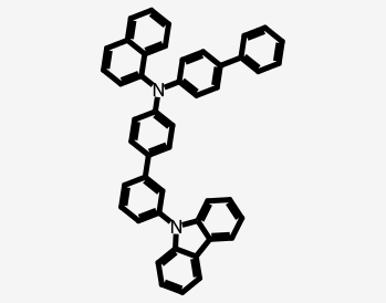 c1ccc(-c2ccc(N(c3ccc(-c4cccc(-n5c6ccccc6c6ccccc65)c4)cc3)c3cccc4ccccc34)cc2)cc1